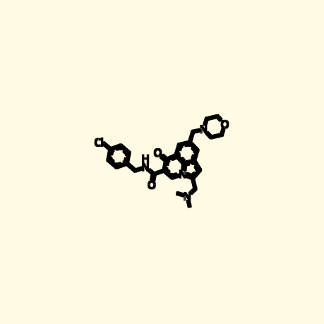 CN(C)Cc1cc2cc(CN3CCOCC3)cc3c(=O)c(C(=O)NCc4ccc(Cl)cc4)cn1c23